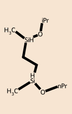 CCCO[SiH](C)CC[SiH](C)OC(C)C